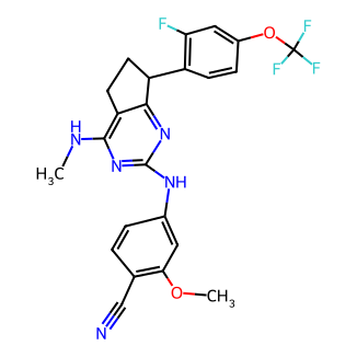 CNc1nc(Nc2ccc(C#N)c(OC)c2)nc2c1CCC2c1ccc(OC(F)(F)F)cc1F